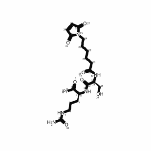 CC(C)C(=O)[C@H](CCCNC(N)=O)NC(=O)[C@H](CO)NC(=O)CCCCCN1C(=O)C=CC1=O